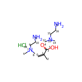 C=C(C)C(=O)O.CN(C)CCN.CN(C)CCN.Cl